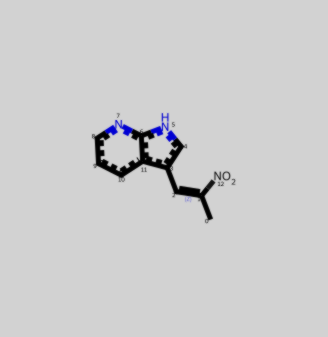 C/C(=C/c1c[nH]c2ncccc12)[N+](=O)[O-]